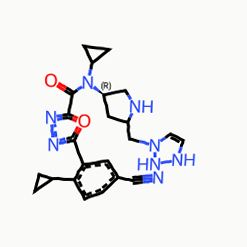 N#Cc1ccc(C2CC2)c(-c2nnc(C(=O)N(C3CC3)[C@H]3CNC(CN4C=CNN4)C3)o2)c1